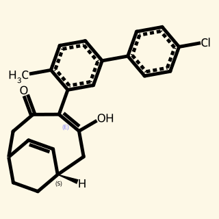 Cc1ccc(-c2ccc(Cl)cc2)cc1/C1=C(\O)C[C@H]2C=CC(CC2)CC1=O